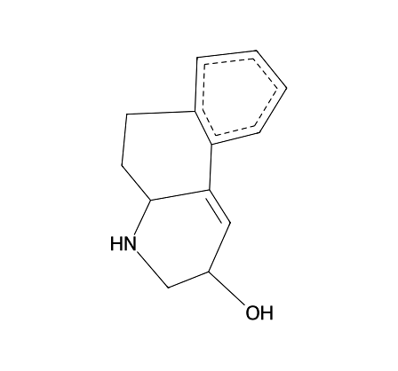 OC1C=C2c3ccccc3CCC2NC1